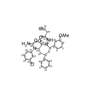 COc1cccc(C2CC(c3ccccc3)CC(N(C(N)=O)c3cccc(Cl)c3)C(=O)N2NC(=O)CC(C)(C)C)c1